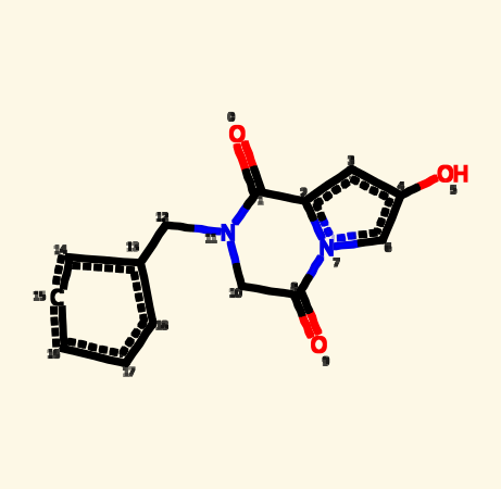 O=C1c2cc(O)cn2C(=O)CN1Cc1ccccc1